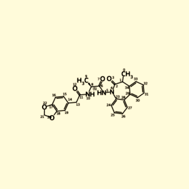 CC1C(=O)N(NC(=O)[C@H](C)NC(=O)Cc2ccc3c(c2)OCO3)c2ccccc2-c2ccccc21